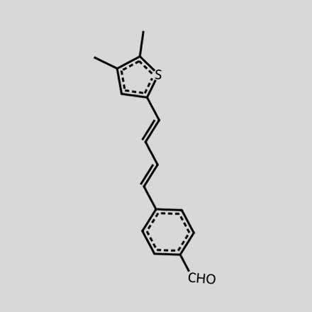 Cc1cc(/C=C/C=C/c2ccc(C=O)cc2)sc1C